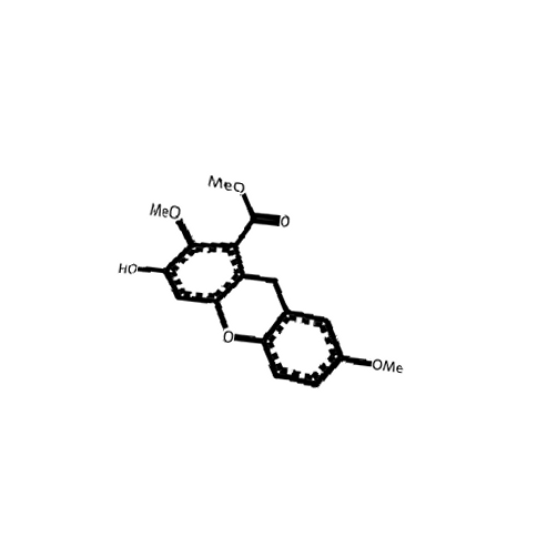 COC(=O)c1c2c(cc(O)c1OC)Oc1ccc(OC)cc1C2